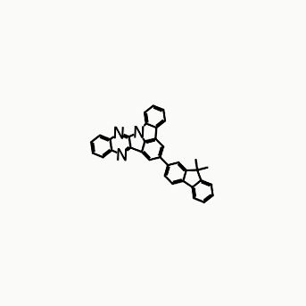 CC1(C)c2ccccc2-c2ccc(-c3cc4c5ccccc5n5c6nc7ccccc7nc6c(c3)c45)cc21